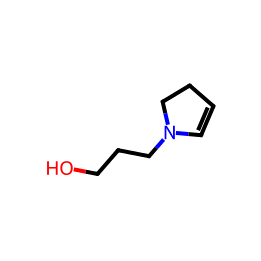 OCCCN1C=CCC1